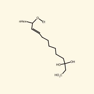 CCCCCCC(C=CCCCCCCC(O)(O)CC(=O)O)OCC